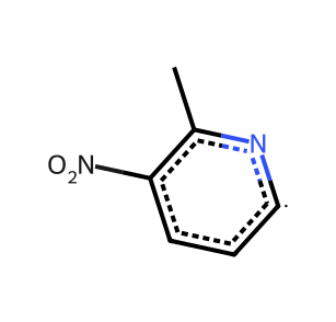 Cc1n[c]ccc1[N+](=O)[O-]